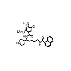 COc1cc(N)c(Cl)cc1C(=O)NC(CCCCNC(=O)c1cccc2ccccc12)C1CCNCC1